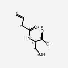 C=CCC(=O)NC(CO)C(=O)O